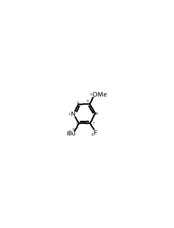 CCC(C)c1ncc(OC)cc1F